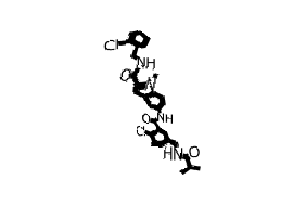 CC(C)C(=O)NCc1ccc(Cl)c(C(=O)Nc2ccc3c(c2)cc(C(=O)NCc2ccccc2Cl)n3C)c1